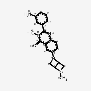 CN1CC2C1CN2c1ccc2nc(-c3cccc(N)c3)n(C)c(=O)c2c1